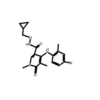 Cc1cc(Br)ccc1Nc1c(C(=O)NOCC2CC2)cn(C)c(=O)c1C